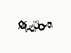 CN(c1cnc(-c2ccc(-n3ccnc3)cc2O)nn1)C1C[C@]2(C)CC[C@](C)(C1)N2